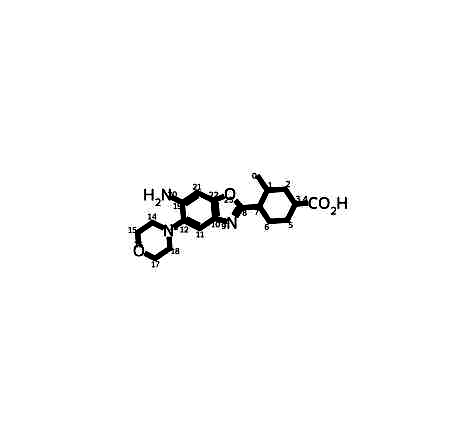 CC1CC(C(=O)O)CCC1c1nc2cc(N3CCOCC3)c(N)cc2o1